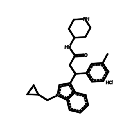 Cc1cccc(C(CC(=O)NC2CCNCC2)c2cn(CC3CC3)c3ccccc23)c1.Cl